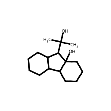 CC(C)(O)C1C2CCCCC2C2CCCCC21O